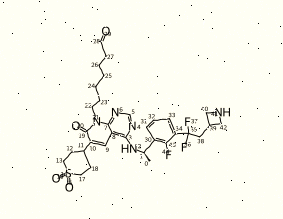 C[C@@H](Nc1ncnc2c1cc(C1CCS(=O)(=O)CC1)c(=O)n2CCCCCCC=O)c1cccc(C(F)(F)CC2CNC2)c1F